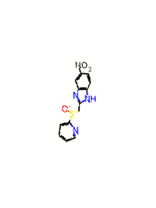 O=[N+]([O-])c1ccc2[nH]c(C[S+]([O-])c3ccccn3)nc2c1